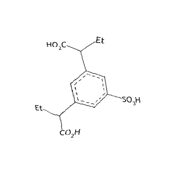 CCC(C(=O)O)c1cc(C(CC)C(=O)O)cc(S(=O)(=O)O)c1